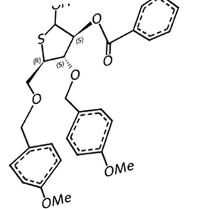 COc1ccc(COC[C@H]2SC(O)[C@@H](OC(=O)c3ccccc3)[C@@H]2OCc2ccc(OC)cc2)cc1